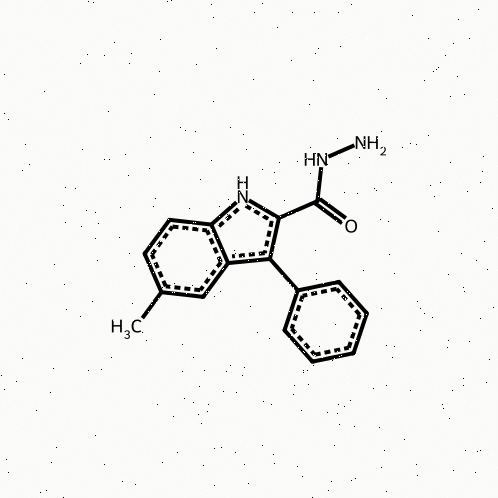 Cc1ccc2[nH]c(C(=O)NN)c(-c3ccccc3)c2c1